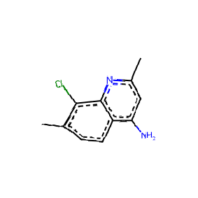 Cc1cc(N)c2ccc(C)c(Cl)c2n1